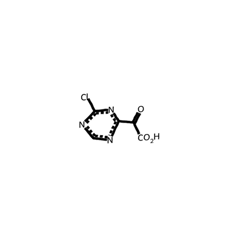 O=C(O)C(=O)c1ncnc(Cl)n1